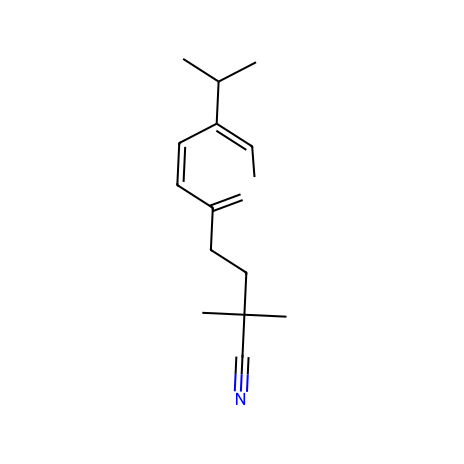 C=C(/C=C\C(=C/C)C(C)C)CCC(C)(C)C#N